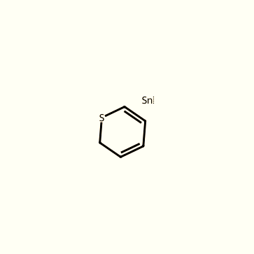 C1=CCSC=C1.[Sn]